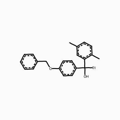 CCC(O)(c1ccc(OCc2ccccc2)cc1)c1cc(C)ccc1C